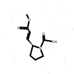 COC(=O)C=C[C@@H]1CCCN1C(=O)O